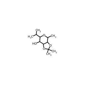 CC(C)C1OC(C)C2OC(C)(C)OC2C1O